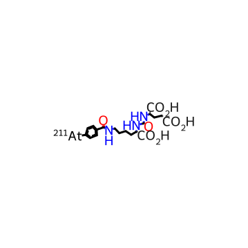 O=C(O)CC[C@H](NC(=O)NC(CCCCNC(=O)c1ccc([211At])cc1)C(=O)O)C(=O)O